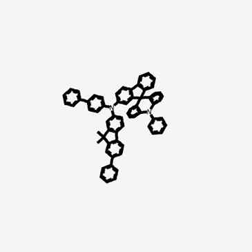 CC1(C)c2cc(-c3ccccc3)ccc2-c2ccc(N(c3ccc(-c4ccccc4)cc3)c3ccc4c(c3)C3(c5ccccc5-4)c4ccccc4N(c4ccccc4)c4ccccc43)cc21